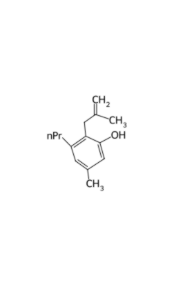 C=C(C)Cc1c(O)cc(C)cc1CCC